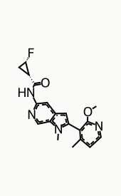 COc1nccc(C)c1-c1cc2cc(NC(=O)[C@@H]3C[C@@H]3F)ncc2n1C